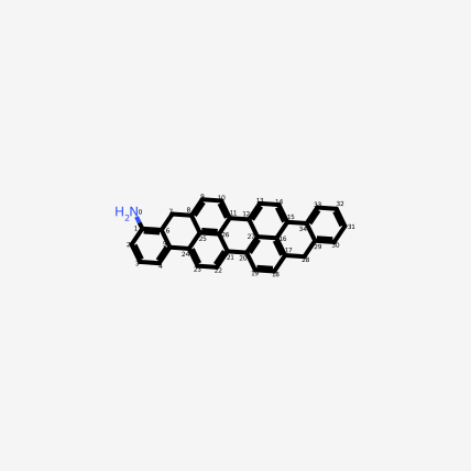 Nc1cccc2c1Cc1ccc3c4ccc5c6c(ccc(c7ccc-2c1c37)c64)Cc1ccccc1-5